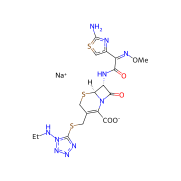 CCNn1nnnc1SCC1=C(C(=O)[O-])N2C(=O)[C@@H](NC(=O)/C(=N\OC)c3csc(N)n3)[C@@H]2SC1.[Na+]